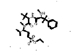 CCOS(=O)(=O)/C=C/[C@H](C(C)C)N(C)C(=O)[C@@H](NC(=O)[C@@H](NC)C(C)(C)c1ccccc1)C(C)(C)C